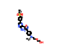 CN(CCOCCO)c1ccc(-c2cc(-c3nc(-c4ccc(S(C)(=O)=O)cc4)cnc3N)on2)cc1